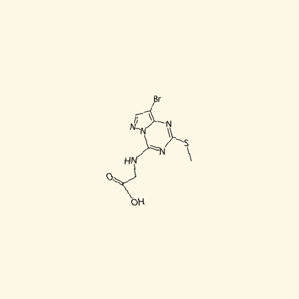 CSc1nc(NCC(=O)O)n2ncc(Br)c2n1